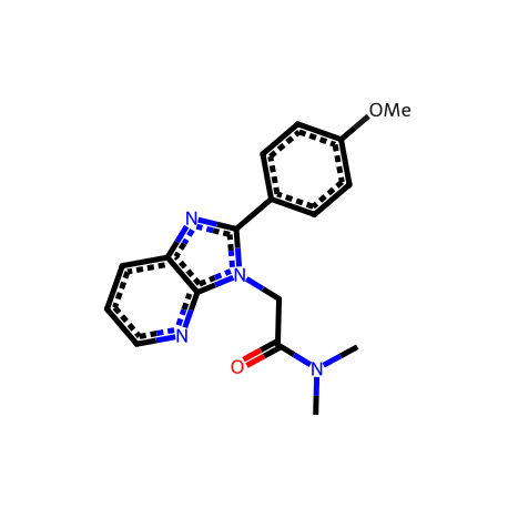 COc1ccc(-c2nc3cccnc3n2CC(=O)N(C)C)cc1